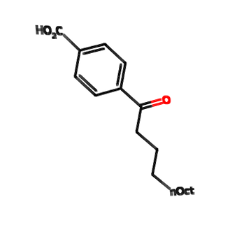 CCCCCCCCCCCC(=O)c1ccc(C(=O)O)cc1